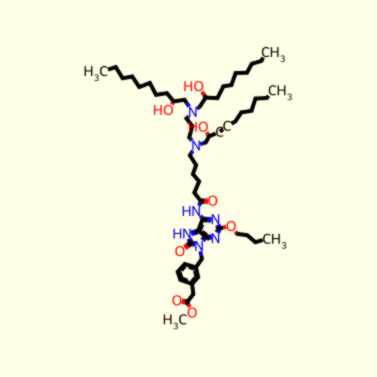 CCCCCCCCC(O)CN(CCCCCC(=O)Nc1nc(OCCCC)nc2c1[nH]c(=O)n2Cc1cccc(CC(=O)OC)c1)CCCN(CC(O)CCCCCCCC)CC(O)CCCCCCCC